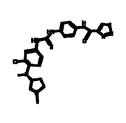 CN1CCC(N(C)c2ccc(NC(=S)Nc3ccc(NC(=O)c4csnn4)cc3)cc2Cl)C1